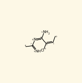 C/C=C(Cl)\C(N)=N/C(C)=N